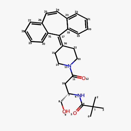 CC(C)(C)C(=O)N[C@H](CO)CC(=O)N1CCC(=C2c3ccccc3C=Cc3ccccc32)CC1